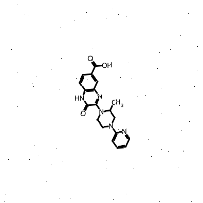 CC1CN(c2ccccn2)CCN1c1nc2cc(C(=O)O)ccc2[nH]c1=O